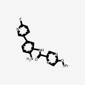 CCCOc1cnc(C(=O)Nc2cc(-c3ccc(F)nc3)ccc2N)cn1